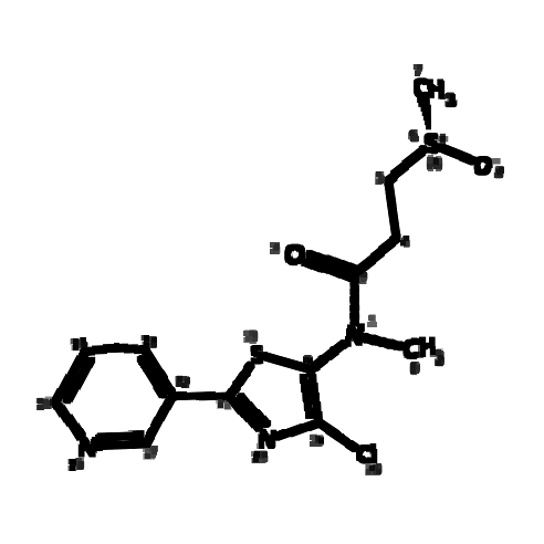 CN(C(=O)CC[S@+](C)[O-])c1sc(-c2cccnc2)nc1Cl